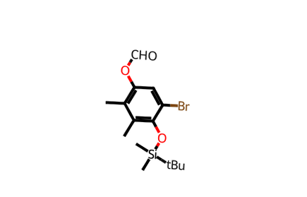 Cc1c(OC=O)cc(Br)c(O[Si](C)(C)C(C)(C)C)c1C